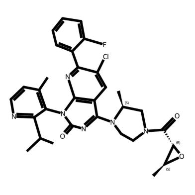 Cc1ccnc(C(C)C)c1-n1c(=O)nc(N2CCN(C(=O)[C@@H]3O[C@H]3C)C[C@@H]2C)c2cc(Cl)c(-c3ccccc3F)nc21